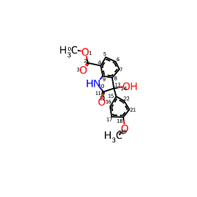 COC(=O)c1cccc2c1NC(=O)C2(O)c1ccc(OC)cc1